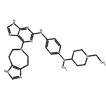 CCN1CCC(N(C)c2ccc(Nc3nc(N4CCc5nc[nH]c5CC4)c4nc[nH]c4n3)cc2)CC1